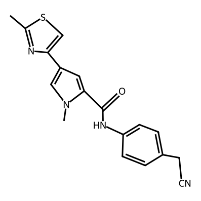 Cc1nc(-c2cc(C(=O)Nc3ccc(CC#N)cc3)n(C)c2)cs1